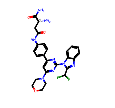 NC(=O)[C@H](N)CC(=O)Nc1ccc(-c2cc(N3CCOCC3)nc(-n3c(C(F)F)nc4ccccc43)n2)cc1